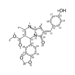 COC(=O)C1=C(C)N=c2sc(=Cc3ccc(O)cc3)c(=O)n2C1c1ccc2c(c1)OCO2